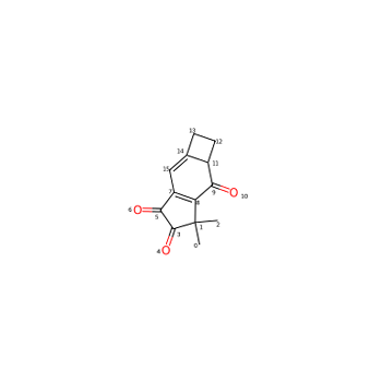 CC1(C)C(=O)C(=O)C2=C1C(=O)C1CCC1=C2